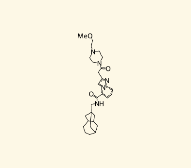 COCCN1CCN(C(=O)Cc2cn3c(C(=O)NCC45CC6CCCC(C4)C(C6)C5)cccc3n2)CC1